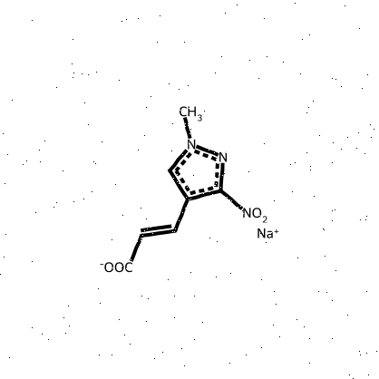 Cn1cc(C=CC(=O)[O-])c([N+](=O)[O-])n1.[Na+]